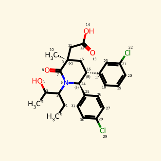 CCC(C(C)O)N1C(=O)[C@@](C)(CC(=O)O)C[C@H](c2cccc(Cl)c2)[C@H]1c1ccc(Cl)cc1